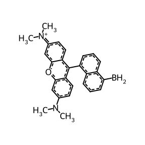 Bc1cccc2c(-c3c4ccc(=[N+](C)C)cc-4oc4cc(N(C)C)ccc34)cccc12